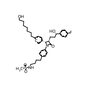 CS(=O)(=O)NCCCCc1ccc(N2C(=O)[C@H](CC[C@H](O)c3ccc(F)cc3)[C@H]2c2ccc(CCCCCCCO)cc2)cc1